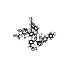 CC(C(=O)O)c1cccc(C(=O)c2ccccc2)c1.CN(Cc1cnc2nc(N)nc(N)c2n1)c1ccc(C(=O)N[C@@H](CCC(=O)O)C(=O)O)cc1.NCC(CC(=O)O)c1ccc(Cl)cc1